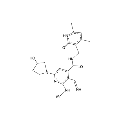 Cc1cc(C)c(CNC(=O)c2cc(N3CCC(O)C3)nc(NC(C)C)c2C=N)c(=O)[nH]1